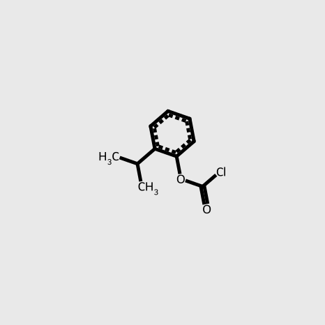 CC(C)c1ccccc1OC(=O)Cl